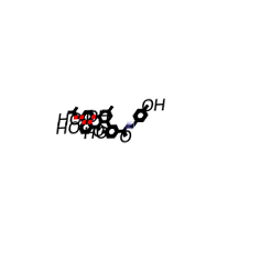 CC(C)=CCc1c(O)ccc(C(=O)C2C(c3cc(C(=O)/C=C/c4ccc(O)cc4)ccc3O)C=C(C)CC2c2ccc(O)cc2)c1O